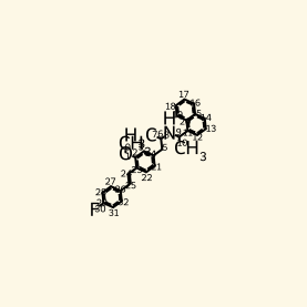 COc1cc(CC(C)NC(C)c2cccc3ccccc23)ccc1C=Cc1ccc(F)cc1